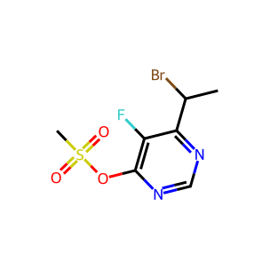 CC(Br)c1ncnc(OS(C)(=O)=O)c1F